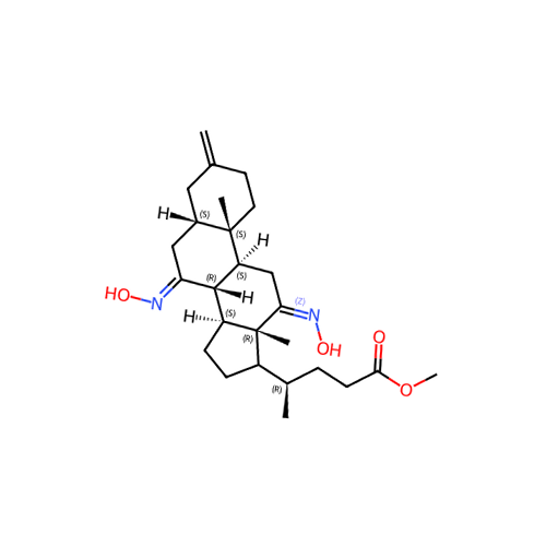 C=C1CC[C@@]2(C)[C@@H](C1)CC(=NO)[C@@H]1[C@@H]2C/C(=N/O)[C@]2(C)C([C@H](C)CCC(=O)OC)CC[C@@H]12